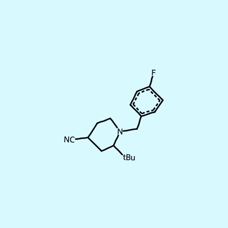 CC(C)(C)C1CC(C#N)CCN1Cc1ccc(F)cc1